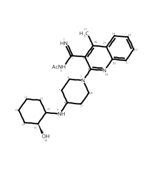 CC(=O)NC(=N)c1c(N2CCC(NC3CCCC[C@@H]3O)CC2)nc2ccccc2c1C